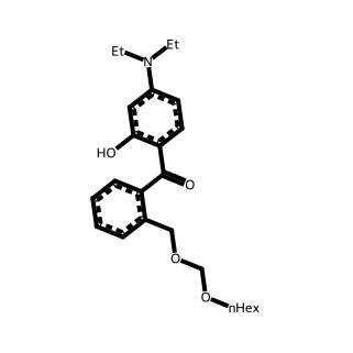 CCCCCCOCOCc1ccccc1C(=O)c1ccc(N(CC)CC)cc1O